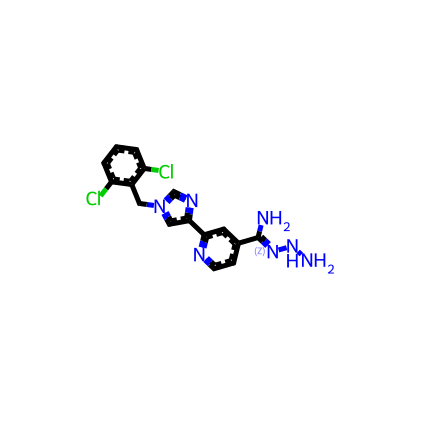 NN/N=C(\N)c1ccnc(-c2cn(Cc3c(Cl)cccc3Cl)cn2)c1